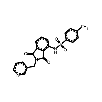 Cc1ccc(S(=O)(=O)Nc2cccc3c2C(=O)N(Cc2cccnc2)C3=O)cc1